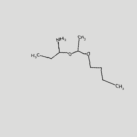 CCCCOC(C)OC(N)CC